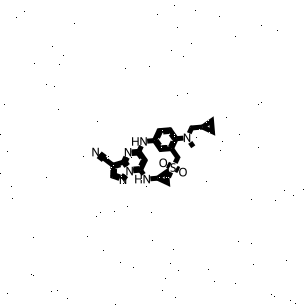 CN(CC1CC1)c1ccc(Nc2cc(NC3CC3)n3ncc(C#N)c3n2)cc1CS(C)(=O)=O